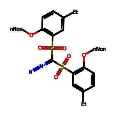 CCCCCCCCCOc1ccc(CC)cc1S(=O)(=O)C(=[N+]=[N-])S(=O)(=O)c1cc(CC)ccc1OCCCCCCCCC